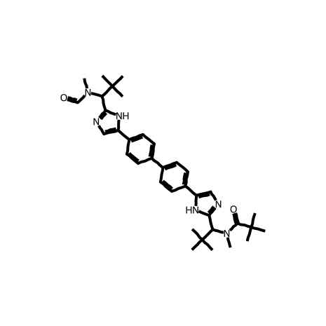 CN(C=O)C(c1ncc(-c2ccc(-c3ccc(-c4cnc(C(N(C)C(=O)C(C)(C)C)C(C)(C)C)[nH]4)cc3)cc2)[nH]1)C(C)(C)C